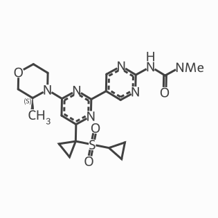 CNC(=O)Nc1ncc(-c2nc(N3CCOC[C@@H]3C)cc(C3(S(=O)(=O)C4CC4)CC3)n2)cn1